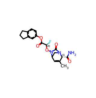 CC1=CC2CN(C(=O)N2O[C@H](F)C(=O)Oc2ccc3c(c2)CCC3)[C@@H]1C(N)=O